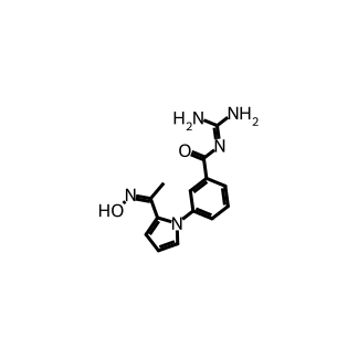 C/C(=N/O)c1cccn1-c1cccc(C(=O)N=C(N)N)c1